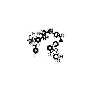 C[C@H](Oc1cc(-c2nn(C)c3c(-c4cnn(C5CCN(C(=O)[C@H]6C[C@@H]6C6CCN(c7cccc8c7C(=O)N(C7CCC(=O)NC7=O)C8=O)CC6)CC5)c4)cnc(N)c23)ccc1NS(=O)(=O)C(F)F)c1ccc(F)cc1